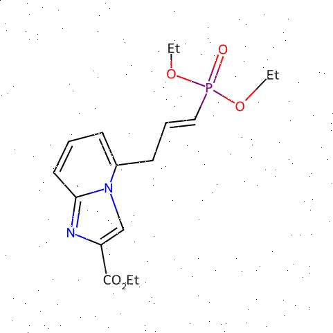 CCOC(=O)c1cn2c(CC=CP(=O)(OCC)OCC)cccc2n1